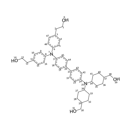 OCCc1ccc(N(c2ccc(CCO)cc2)c2ccc(-c3ccc(N(C4CCC(CO)CC4)C4CCC(CO)CC4)cc3)cc2)cc1